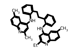 CCc1cc(Nc2ccccc2CCc2ccccc2Nc2cc(C)nc3ccc(C)cc23)c2cc(C)ccc2n1